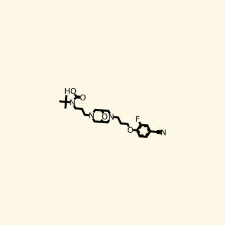 CC(C)(C)N(CCCN1CC2CN(CCCOc3ccc(C#N)cc3F)CC(C1)O2)C(=O)O